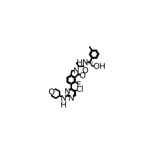 Cc1cccc([C@@H](CO)NC(=O)C(C)N2Cc3ccc(-c4nc(NC5CCOCC5)ncc4Cl)c(F)c3C2=O)c1